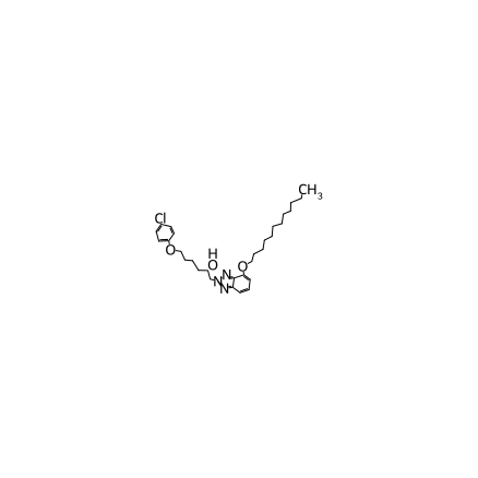 CCCCCCCCCCCCOc1cccc2nn(CC(O)CCCCOc3ccc(Cl)cc3)nc12